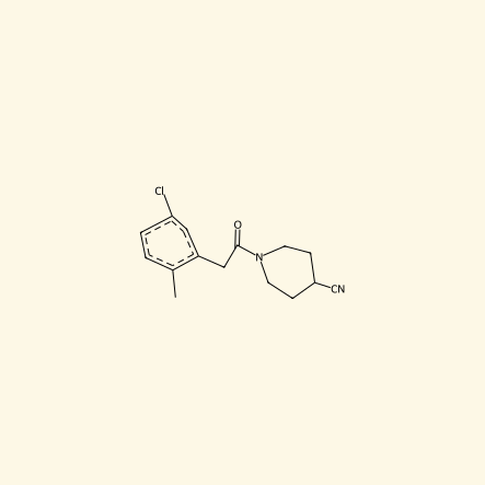 Cc1ccc(Cl)cc1CC(=O)N1CCC(C#N)CC1